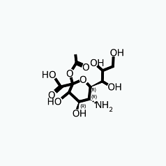 CC(=O)OC1(C(=O)O)O[C@@H](C(O)C(O)CO)[C@H](N)[C@@H](O)C1O